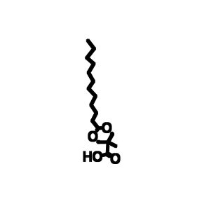 CCCCCCCCCCCC1OCC(C)(C(=O)O)CO1